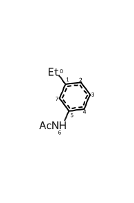 [CH2]Cc1cccc(NC(C)=O)c1